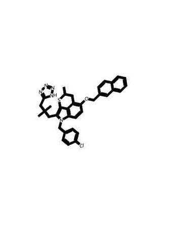 CC1Cc2c(OCc3ccc4ccccc4c3)ccc3c2c(c(CC(C)(C)Cc2nnn[nH]2)n3Cc2ccc(Cl)cc2)S1